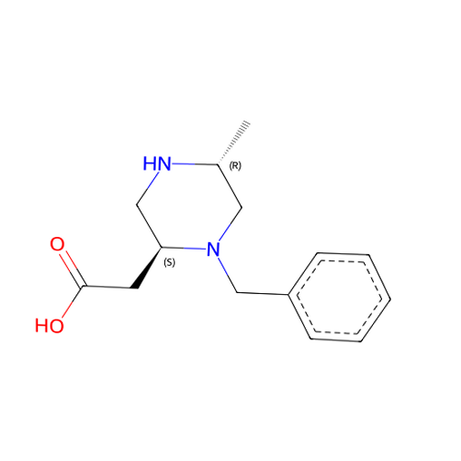 C[C@@H]1CN(Cc2ccccc2)[C@@H](CC(=O)O)CN1